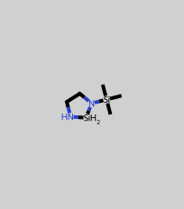 C[Si](C)(C)N1CCN[SiH2]1